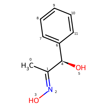 C/C(=N\O)[C@H](O)c1ccccc1